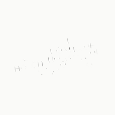 CC(C)=CC(O)C(O)C(C)C1CCC2(C)C3CC=C4C(CCC(OC5OC(COC6OC(CO)C(O)C(O)C6O)C(O)C(O)C5O)C4(C)C)C3(C)CCC12C